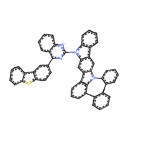 c1ccc2c(c1)-c1ccccc1-n1c3cc4c5ccccc5n(-c5nc(-c6ccc7sc8ccccc8c7c6)c6ccccc6n5)c4cc3c3cccc-2c31